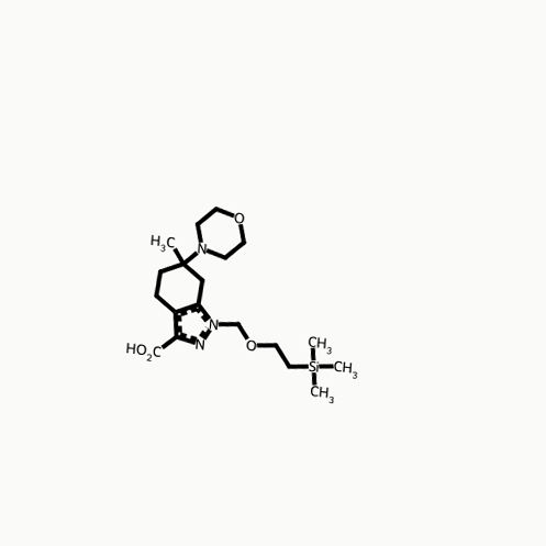 CC1(N2CCOCC2)CCc2c(C(=O)O)nn(COCC[Si](C)(C)C)c2C1